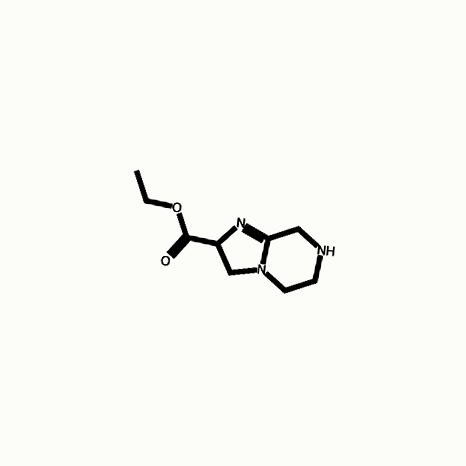 CCOC(=O)C1CN2CCNCC2=N1